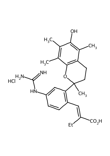 CC/C(=C\c1ccc(NC(=N)N)cc1C1(C)CCc2c(C)c(O)c(C)c(C)c2O1)C(=O)O.Cl